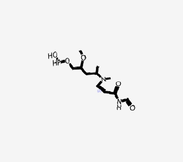 COC(COPO)CC(C)N(C)/C=C\C(=O)NC=O